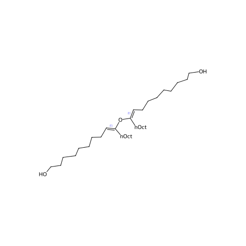 CCCCCCCC/C(=C\CCCCCCCCO)O/C(=C/CCCCCCCCO)CCCCCCCC